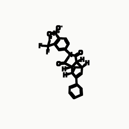 O=C1[C@@H]2[C@H](C(=O)N1c1ccc([N+](=O)[O-])c(C(F)(F)F)c1)[C@@H]1C=C(c3ccccc3)[C@H]2C1